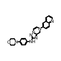 C1=Cn2nc(Nc3ccc(N4CCOCC4)cc3)nc2CN1c1ccc2ncccc2c1